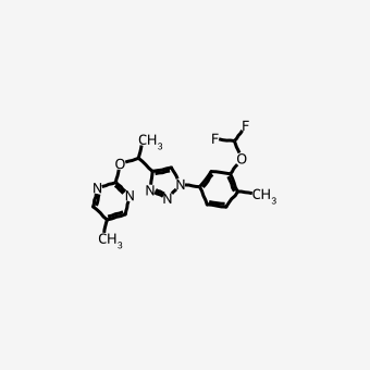 Cc1cnc(OC(C)c2cn(-c3ccc(C)c(OC(F)F)c3)nn2)nc1